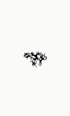 CC(Sc1cnn[nH]1)C1=C(C(=O)OC(C)(C)C)N2C(=O)C(=O)[C@@H]2SC1